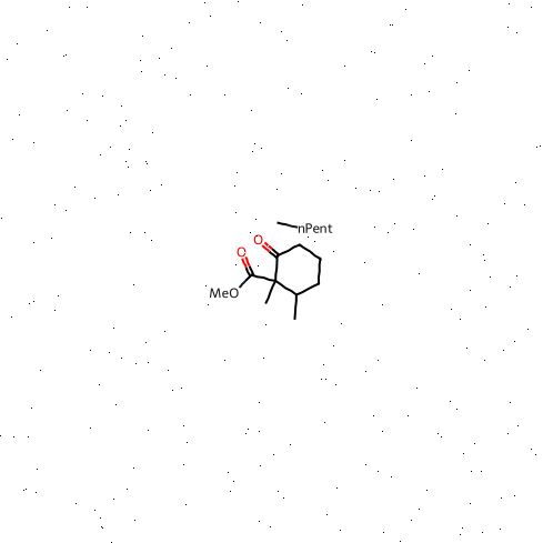 CCCCCC.COC(=O)C1(C)C(=O)CCCC1C